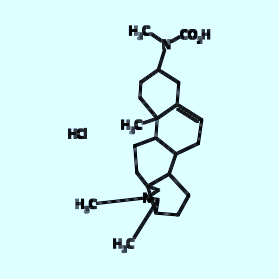 CC1C2CCC3C4CC=C5CC(N(C)C(=O)O)CCC5(C)C4CCC32CN1C.Cl